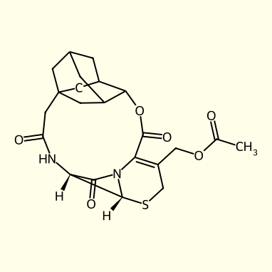 CC(=O)OCC1=C2C(=O)OC3C4CC5CC3CC(CC(=O)N[C@@H]3C(=O)N2[C@@H]3SC1)(C5)C4